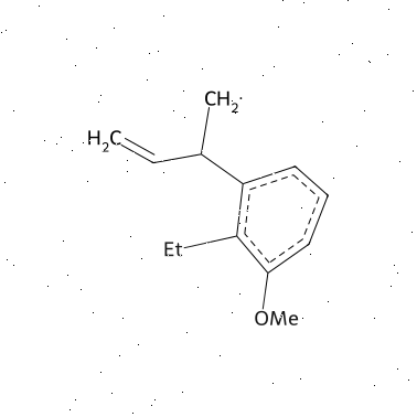 [CH2]C(C=C)c1cccc(OC)c1CC